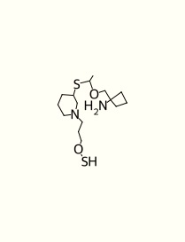 CC(OCC1(N)CCC1)SC1CCCN(CCCOS)C1